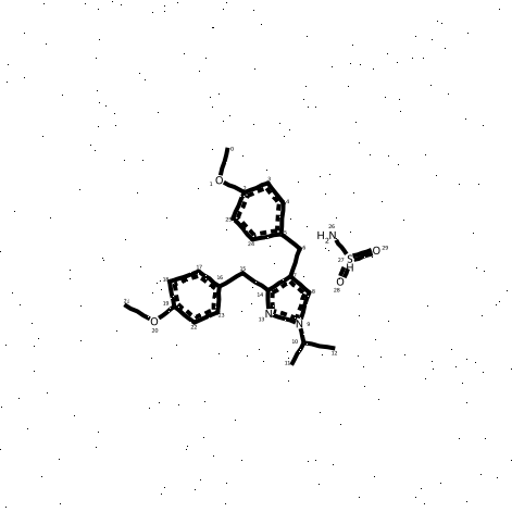 COc1ccc(Cc2cn(C(C)C)nc2Cc2ccc(OC)cc2)cc1.N[SH](=O)=O